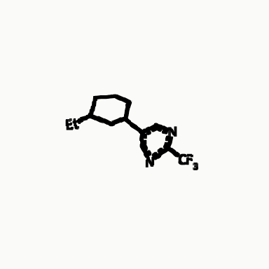 CCC1CCCC(c2cnc(C(F)(F)F)nc2)C1